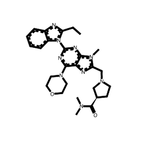 CCc1nc2ccccc2n1-c1nc(N2CCOCC2)c2nc(CN3CC[C@@H](C(=O)N(C)C)C3)n(C)c2n1